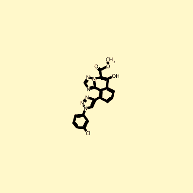 COC(=O)c1c(O)c2cccc(-c3cn(-c4cccc(Cl)c4)nn3)c2c2ncnn12